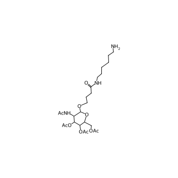 CC(=O)NC1C(OCCCC(=O)NCCCCCCN)OC(COC(C)=O)C(OC(C)=O)C1OC(C)=O